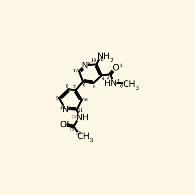 CNC(=O)c1cc(-c2ccnc(NC(C)=O)c2)cnc1N